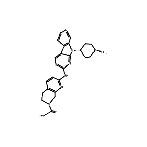 C[C@H]1CC[C@H](n2c3cnccc3c3cnc(Nc4ccc5c(n4)CN(C(=O)O)CC5)nc32)CC1